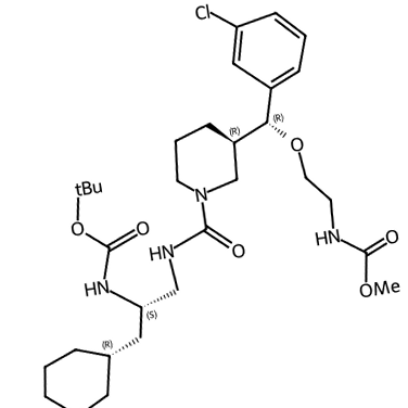 COC(=O)NCCO[C@@H](c1cccc(Cl)c1)[C@@H]1CCCN(C(=O)NC[C@H](C[C@H]2CCCOC2)NC(=O)OC(C)(C)C)C1